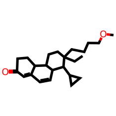 CCC1(CCCCOC)CCC2C3CCC(=O)C=C3C=CC2C1C1CC1